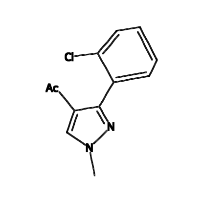 CC(=O)c1cn(C)nc1-c1ccccc1Cl